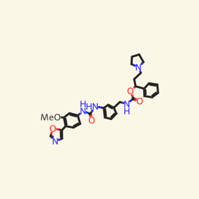 COc1cc(NC(=O)Nc2cccc(CNC(=O)OC(CCN3CCCC3)c3ccccc3)c2)ccc1-c1cnco1